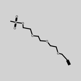 C#CCOCCOCCOCCOS(C)(=O)=O